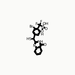 O=c1[nH]c(C(S)c2ccc(C(F)(F)P(=O)(O)O)c(Br)c2)nc2ccccc12